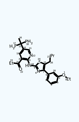 CCOc1cccc(-c2nc(Nc3ncc(C(C)(P)P)cc3C(=O)CC)sc2CC(C)C)c1